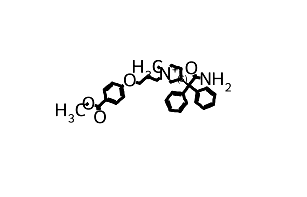 COC(=O)c1ccc(OCCC[N+]2(C)CC[C@@H](C(C(N)=O)(c3ccccc3)c3ccccc3)C2)cc1